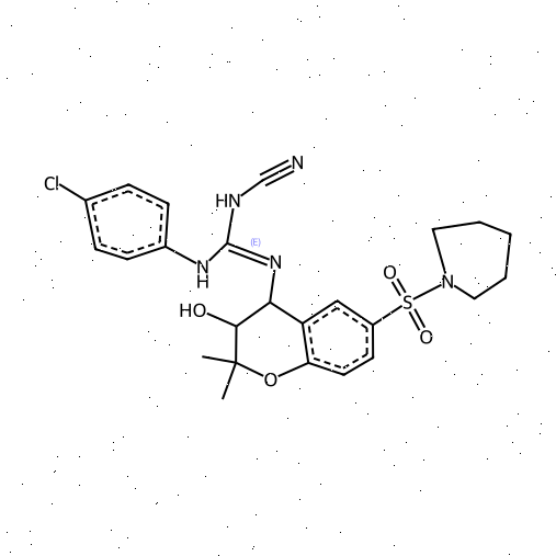 CC1(C)Oc2ccc(S(=O)(=O)N3CCCCC3)cc2C(/N=C(/NC#N)Nc2ccc(Cl)cc2)C1O